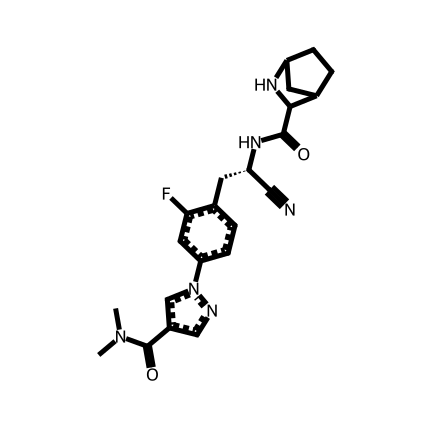 CN(C)C(=O)c1cnn(-c2ccc(C[C@@H](C#N)NC(=O)C3NC4CCC3C4)c(F)c2)c1